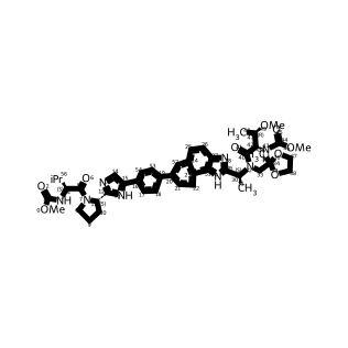 COC(=O)N[C@H](C(=O)N1CCC[C@H]1c1ncc(-c2ccc(-c3ccc4c(ccc5nc([C@H](C)N(CC6(C)OCCO6)C(=O)[C@@H](NC(=O)OC)[C@@H](C)OC)[nH]c54)c3)cc2)[nH]1)C(C)C